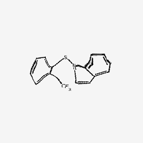 FC(F)(F)c1ccccc1Sn1ccc2ccccc21